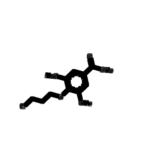 COC(=O)c1cc(OC)c(OCCCCl)c(OC)c1